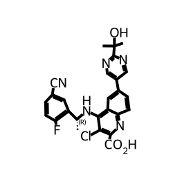 C[C@@H](Nc1c(Cl)c(C(=O)O)nc2ccc(-c3cnc(C(C)(C)O)nc3)cc12)c1cc(C#N)ccc1F